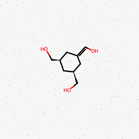 O/C=C1\C[C@@H](CO)C[C@@H](CO)C1